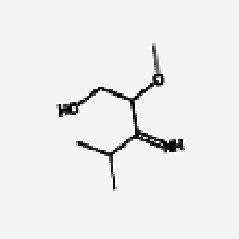 COC(CO)C(=N)C(C)C